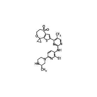 CCc1nc(N2CCN[C@H](C)C2)ccc1Nc1ncc(C(F)(F)F)c(-c2cc3c(s2)C2(CC2)OCCS3(=O)=O)n1